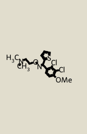 COc1ccc(C(=NOCCN(C)C)c2cccs2)c(Cl)c1Cl